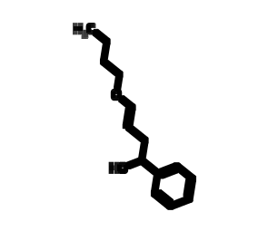 CCCCOC=CCC(O)c1ccccc1